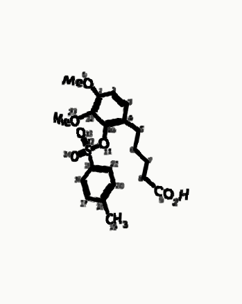 COc1ccc(CCCCC(=O)O)c(OS(=O)(=O)c2ccc(C)cc2)c1OC